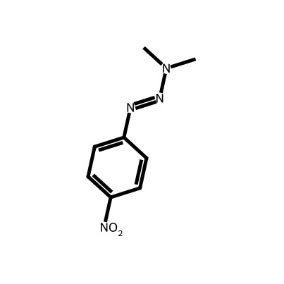 CN(C)N=Nc1ccc([N+](=O)[O-])cc1